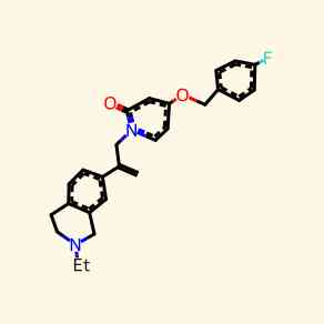 C=C(Cn1ccc(OCc2ccc(F)cc2)cc1=O)c1ccc2c(c1)CN(CC)CC2